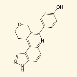 Oc1ccc(-c2nc3ccc4[nH]ncc4c3c3c2COCC3)cc1